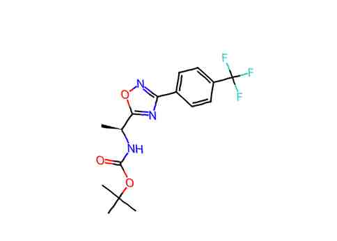 C[C@H](NC(=O)OC(C)(C)C)c1nc(-c2ccc(C(F)(F)F)cc2)no1